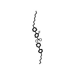 CCCCCCCCCc1ccc(-c2ccc(C(=O)Oc3ccc(-c4ccc(CCCCCC)cc4)cc3)cc2F)cc1